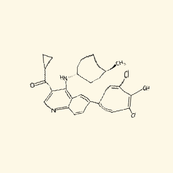 C[C@H]1CC[C@H](Nc2c(C(=O)C3CC3)cnc3ccc(-c4cc(Cl)c(O)c(Cl)c4)cc23)CC1